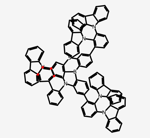 c1ccc(-c2ccccc2N2c3cc(-c4cccc(-n5c6ccccc6c6ccccc65)c4-n4c5ccccc5c5ccccc54)ccc3B3c4ccc(-c5cccc(-n6c7ccccc7c7ccccc76)c5-n5c6ccccc6c6ccccc65)cc4Sc4cc(-n5c6ccccc6c6ccccc65)cc2c43)cc1